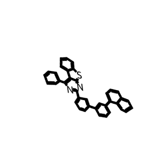 c1ccc(-c2nc(-c3cccc(-c4cccc(-c5cccc6ccccc56)c4)c3)nc3sc4ccccc4c23)cc1